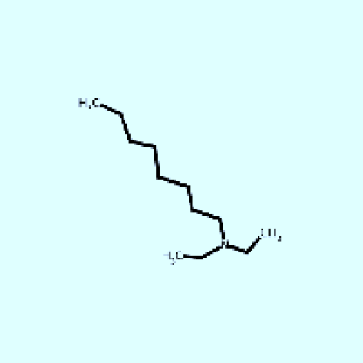 [CH2]CN(CC)CCCCCCCC